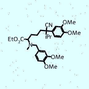 CCOC(=O)C(CCCC(C#N)(c1ccc(OC)c(OC)c1)C(C)C)N(C)Cc1ccc(OC)c(OC)c1